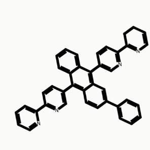 C1=CN=C(c2ccc(-c3c4ccccc4c(-c4ccc(-c5ccccn5)nc4)c4ccc(-c5ccccc5)cc34)cn2)CC1